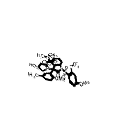 COc1ccc(S(=O)(=O)N2C(=O)C(c3cc(C)ccc3OC)(N3C[C@H](O)C[C@H]3C(=O)N(C)C)c3c2ccc(Cl)c3Cl)c(OC(F)(F)F)c1